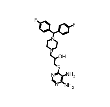 Nc1ncnc(SCC(O)CN2CCN(C(c3ccc(F)cc3)c3ccc(F)cc3)CC2)c1N